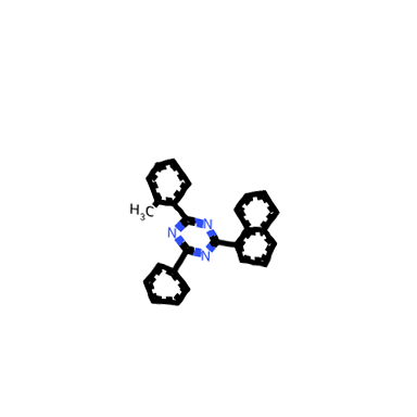 Cc1ccccc1-c1nc(-c2ccccc2)nc(-c2cccc3ccccc23)n1